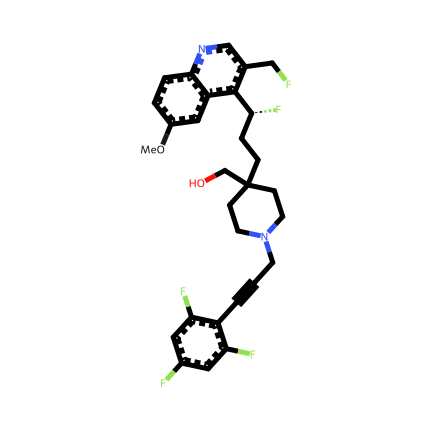 COc1ccc2ncc(CF)c([C@H](F)CCC3(CO)CCN(CC#Cc4c(F)cc(F)cc4F)CC3)c2c1